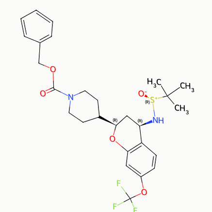 CC(C)(C)[S@+]([O-])N[C@@H]1C[C@H](C2CCN(C(=O)OCc3ccccc3)CC2)Oc2cc(OC(F)(F)F)ccc21